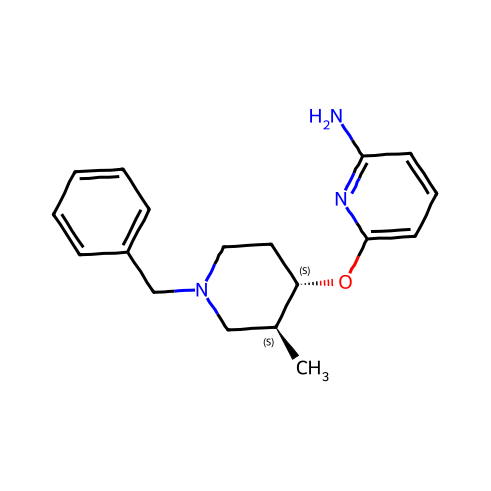 C[C@H]1CN(Cc2ccccc2)CC[C@@H]1Oc1cccc(N)n1